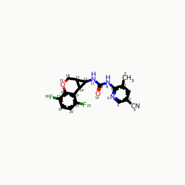 Cc1cc(C#N)cnc1NC(=O)NC1C2COc3c(F)ccc(F)c3C21